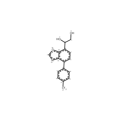 OCC(O)c1ccc(-c2ccc(C(F)(F)F)cc2)c2ncoc12